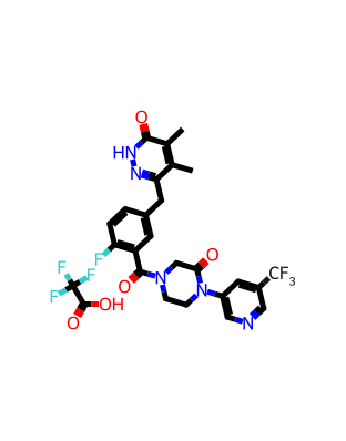 Cc1c(Cc2ccc(F)c(C(=O)N3CCN(c4cncc(C(F)(F)F)c4)C(=O)C3)c2)n[nH]c(=O)c1C.O=C(O)C(F)(F)F